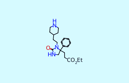 CCOC(=O)CCC1(c2ccccc2)CNC(=O)N1CCC1CCNCC1